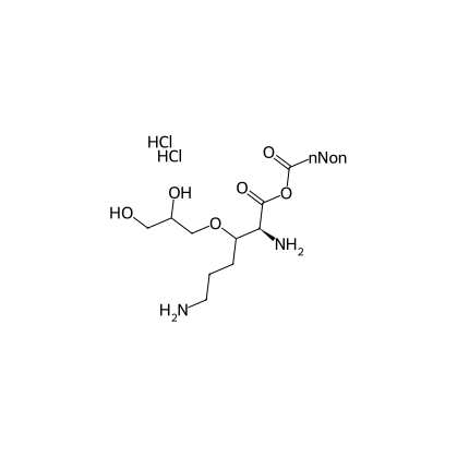 CCCCCCCCCC(=O)OC(=O)[C@@H](N)C(CCCN)OCC(O)CO.Cl.Cl